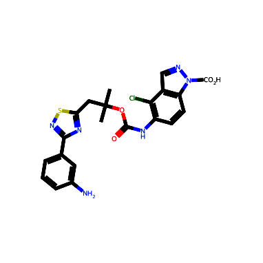 CC(C)(Cc1nc(-c2cccc(N)c2)ns1)OC(=O)Nc1ccc2c(cnn2C(=O)O)c1Cl